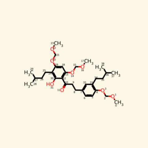 COCOc1ccc(CCC(=O)c2c(OCOC)cc(OCOC)c(CCC(C)C)c2O)cc1CCC(C)C